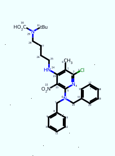 Cc1c(Cl)nc(N(Cc2ccccc2)Cc2ccccc2)c([N+](=O)[O-])c1NCCCCN(C(=O)O)C(C)(C)C